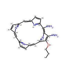 CCCOC1=C(N)C2=C(N)C3=NC(=CC4=NC(=CC5=NC(=CC1=N2)C=C5)C=C4)C=C3